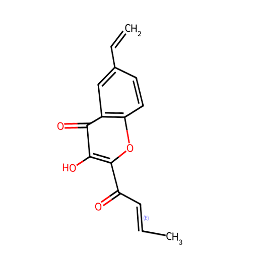 C=Cc1ccc2oc(C(=O)/C=C/C)c(O)c(=O)c2c1